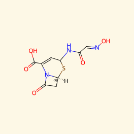 O=C(C=NO)NC1C=C(C(=O)O)N2C(=O)C[C@@H]2S1